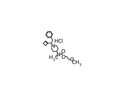 COCCOC(=O)N(C)C1CCN(C(Cc2ccccc2)C2=CCC2)CC1.Cl